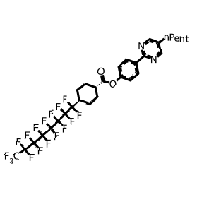 CCCCCc1cnc(-c2ccc(OC(=O)[C@H]3CC[C@H](C(F)(F)C(F)(F)C(F)(F)C(F)(F)C(F)(F)C(F)(F)C(F)(F)C(F)(F)F)CC3)cc2)nc1